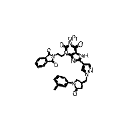 CCCn1c(=O)c2[nH]c(-c3cnn(CC4CC(=O)N(c5cccc(C)c5)C4)c3)nc2n(CCN2C(=O)c3ccccc3C2=O)c1=O